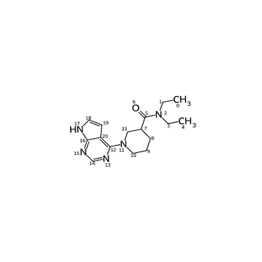 CCN(CC)C(=O)C1CCCN(c2ncnc3[nH]ccc23)C1